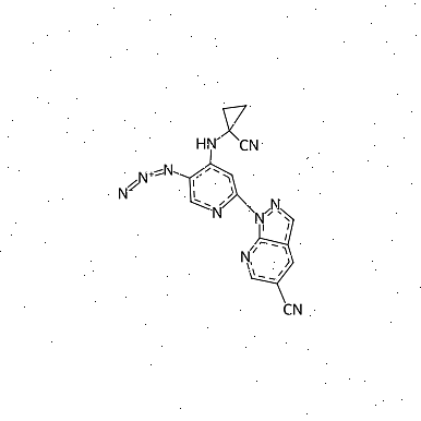 N#Cc1cnc2c(cnn2-c2cc(NC3(C#N)CC3)c(N=[N+]=[N-])cn2)c1